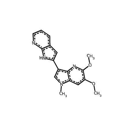 COc1cc2c(nc1OC)c(-c1cc3cccnc3[nH]1)cn2C